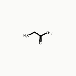 [CH2]C(=O)CC